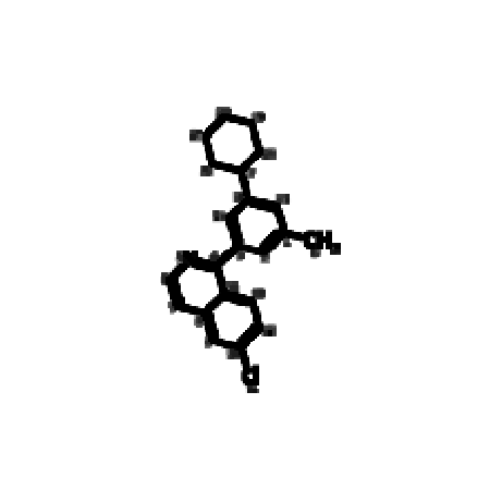 Cc1cc(-c2nccc3cc(Cl)ccc23)cc(C2CCCCC2)c1